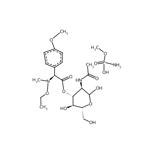 CCON(C)[C@H](C(=O)O[C@H]1[C@H](O)[C@@H](CO)OC(O)[C@@H]1NC(C)=O)c1ccc(OC)cc1.COP(N)(=O)O